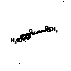 COC(=O)CCCCCCCC(=O)c1ccc2cc(OC)ccc2c1